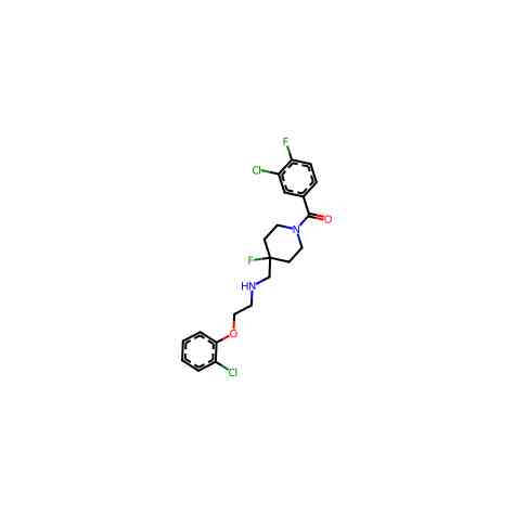 O=C(c1ccc(F)c(Cl)c1)N1CCC(F)(CNCCOc2ccccc2Cl)CC1